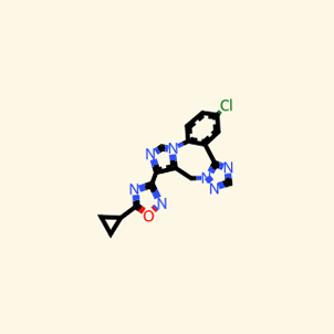 Clc1ccc2c(c1)-c1ncnn1Cc1c(-c3noc(C4CC4)n3)ncn1-2